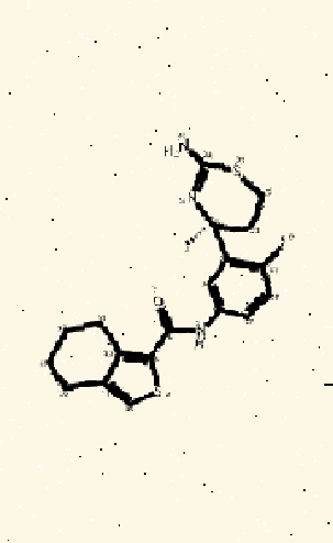 C[C@@]1(c2cc(NC(=O)c3scc4c3CCCC4)ccc2F)CCSC(N)=N1